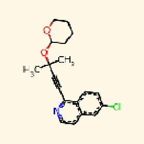 CC(C)(C#Cc1nccc2cc(Cl)ccc12)OC1CCCCO1